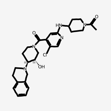 CC(=O)N1CCC(Nc2cc(C(=O)N3CC[C@H](N4CCc5ccccc5C4)[C@@H](O)C3)c(Cl)cn2)CC1